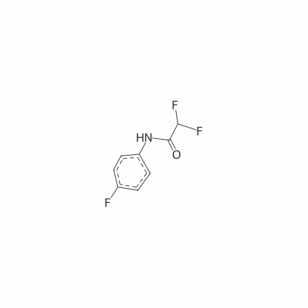 O=C(Nc1ccc(F)cc1)C(F)F